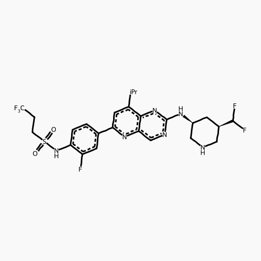 CC(C)c1cc(-c2ccc(NS(=O)(=O)CCC(F)(F)F)c(F)c2)nc2cnc(N[C@@H]3CNC[C@H](C(F)F)C3)nc12